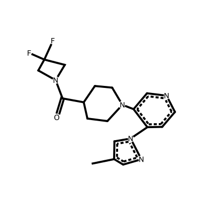 Cc1cnn(-c2ccncc2N2CCC(C(=O)N3CC(F)(F)C3)CC2)c1